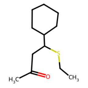 CCSC(CC(C)=O)C1CCCCC1